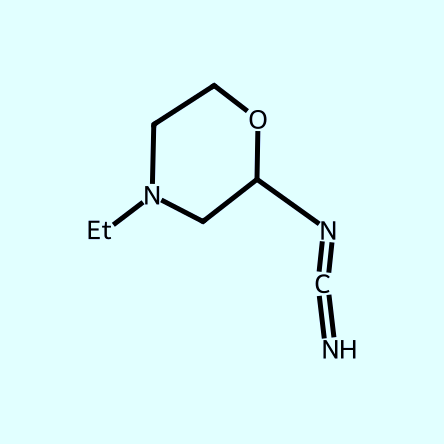 CCN1CCOC(N=C=N)C1